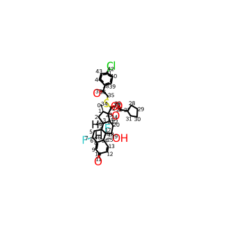 C[C@@H]1C[C@H]2[C@@H]3C[C@H](F)C4=CC(=O)C=C[C@]4(C)[C@@]3(F)[C@@H](O)C[C@]2(C)[C@@]1(OC(=O)C1CCCC1)C(=O)SCC(=O)c1ccc(Cl)cc1